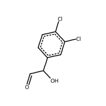 O=CC(O)c1ccc(Cl)c(Cl)c1